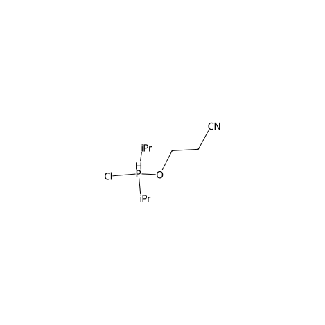 CC(C)[PH](Cl)(OCCC#N)C(C)C